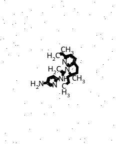 C=C(C)c1ccc2c(n1)N(C(=C)Nc1ccc(N)cn1)[C@@](C)(CCC)CC2